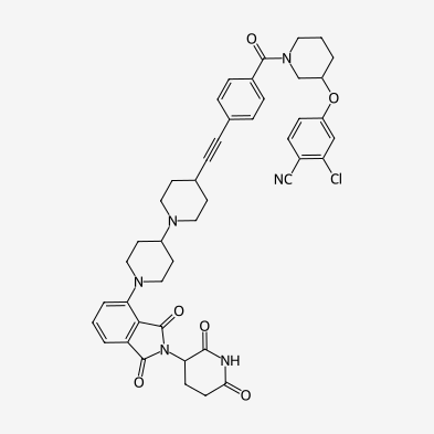 N#Cc1ccc(OC2CCCN(C(=O)c3ccc(C#CC4CCN(C5CCN(c6cccc7c6C(=O)N(C6CCC(=O)NC6=O)C7=O)CC5)CC4)cc3)C2)cc1Cl